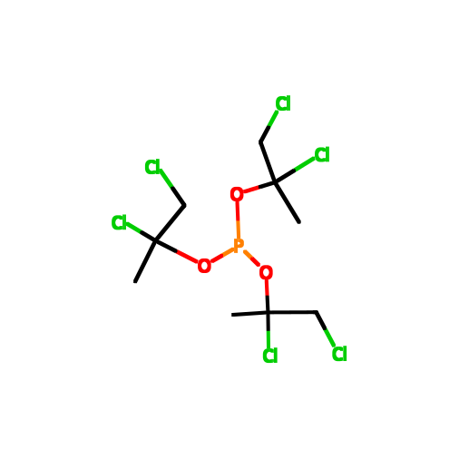 CC(Cl)(CCl)OP(OC(C)(Cl)CCl)OC(C)(Cl)CCl